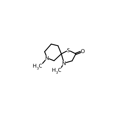 CN1CCCC2(C1)SC(=O)CN2C